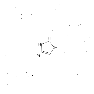 C1=C[IH][IH][IH]1.[Pt]